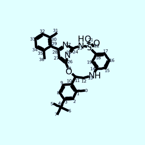 Cc1cc(C(C)(C)C)ccc1C1CNc2cccc(c2)S(=O)(=O)Nc2nc(cc(-c3c(C)cccc3C)n2)O1